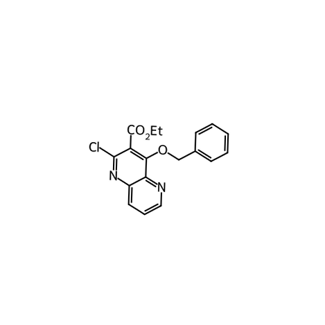 CCOC(=O)c1c(Cl)nc2cccnc2c1OCc1ccccc1